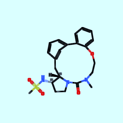 CN1CCOc2ccccc2-c2cccc(c2)C[C@H]2[C@@H](NS(C)(=O)=O)CCN2C1=O